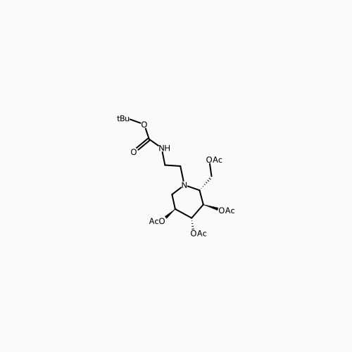 CC(=O)OC[C@@H]1[C@@H](OC(C)=O)[C@H](OC(C)=O)[C@@H](OC(C)=O)CN1CCNC(=O)OC(C)(C)C